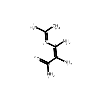 C/C(N)=N\C(N)=C(\N)C(N)=O